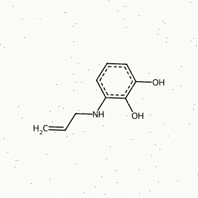 C=CCNc1cccc(O)c1O